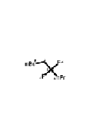 CCCCCC(F)(F)CCC